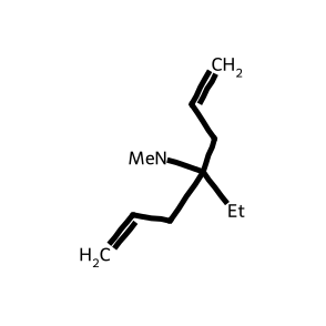 C=CCC(CC)(CC=C)NC